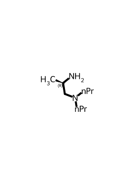 CCCN(CCC)C[C@@H](C)N